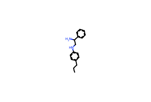 CCCc1ccc(NCC(N)c2ccccc2)cc1